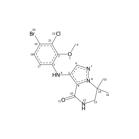 COc1c(Nc2cnn3c2C(=O)NCC3(C)C)ccc(Br)c1Cl